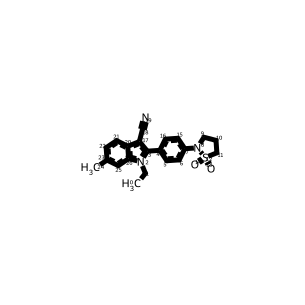 CCn1c(-c2ccc(N3CCCS3(=O)=O)cc2)c(C#N)c2ccc(C)cc21